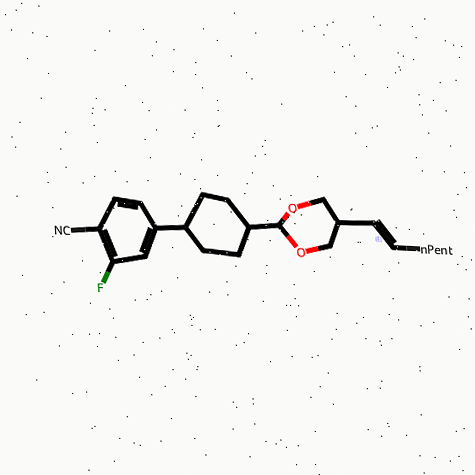 CCCCC/C=C/C1COC(C2CCC(c3ccc(C#N)c(F)c3)CC2)OC1